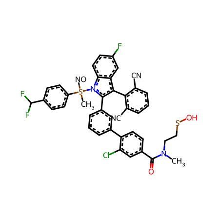 CN(CCSO)C(=O)c1ccc(-c2cccc(-c3c(-c4c(C#N)cccc4C#N)c4cc(F)ccc4n3S(C)(N=O)c3ccc(C(F)F)cc3)c2)c(Cl)c1